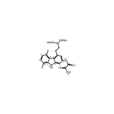 CCCCCCN(CCCCCC)CCc1cccc2[nH]c3c(C)ccc(C)c3c12.O=C(O)C(=O)O